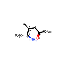 COC(=O)C[C@H](C)[C@H](N)C(=O)O